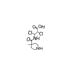 CC1(C(=O)NC(Cl)C(Cl)C(=O)O)CCNCC1